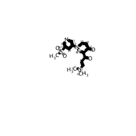 CN(C)C=CC(=O)c1nn(-c2cncc(S(C)(=O)=O)c2)ccc1=O